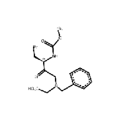 CC(C)C[C@@H](NC(=O)OC(C)(C)C)C(=O)CN(CC(=O)O)Cc1ccccc1